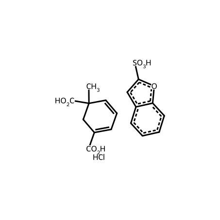 CC1(C(=O)O)C=CC=C(C(=O)O)C1.Cl.O=S(=O)(O)c1cc2ccccc2o1